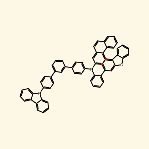 c1cc(-c2ccc(N(c3ccc4c(ccc5ccccc54)c3)c3ccccc3-c3ccc4c(c3)oc3ccccc34)cc2)cc(-c2ccc(-n3c4ccccc4c4ccccc43)cc2)c1